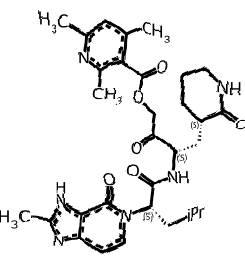 Cc1cc(C)c(C(=O)OCC(=O)[C@H](C[C@@H]2CCCNC2=O)NC(=O)[C@H](CC(C)C)n2ccc3nc(C)[nH]c3c2=O)c(C)n1